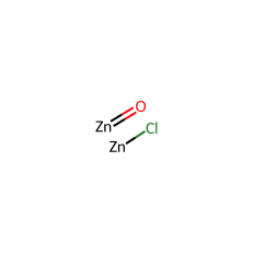 [Cl][Zn].[O]=[Zn]